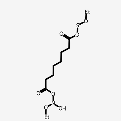 CCOSOC(=O)CCCCCCC(=O)ON(O)OCC